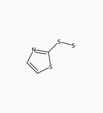 [S]Sc1nccs1